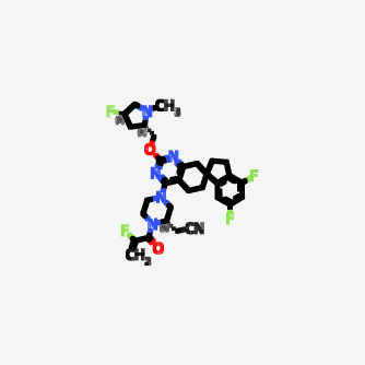 C=C(F)C(=O)N1CCN(c2nc(OC[C@@H]3C[C@@H](F)CN3C)nc3c2CCC2(CCc4c(F)cc(F)cc42)C3)C[C@@H]1CC#N